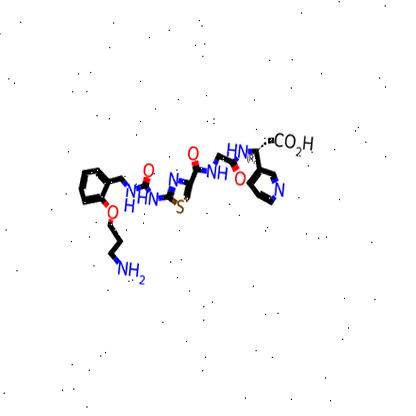 NCCCOc1ccccc1CNC(=O)Nc1nc(C(=O)NCC(=O)N[C@H](CC(=O)O)c2cccnc2)cs1